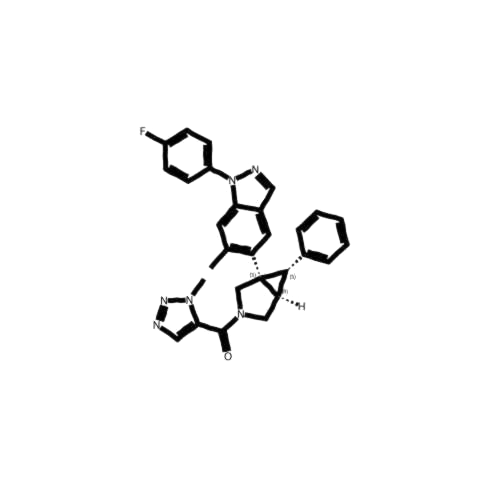 Cc1cc2c(cnn2-c2ccc(F)cc2)cc1[C@@]12CN(C(=O)c3cnnn3C)C[C@@H]1[C@H]2c1ccccc1